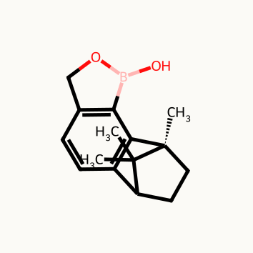 CC1(C)C2CC[C@]1(C)c1c2ccc2c1B(O)OC2